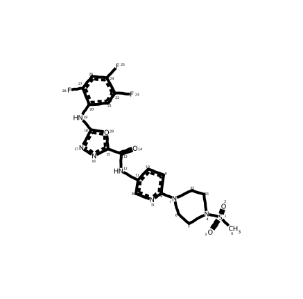 CS(=O)(=O)N1CCN(c2ccc(NC(=O)c3nnc(Nc4cc(F)c(F)cc4F)o3)cn2)CC1